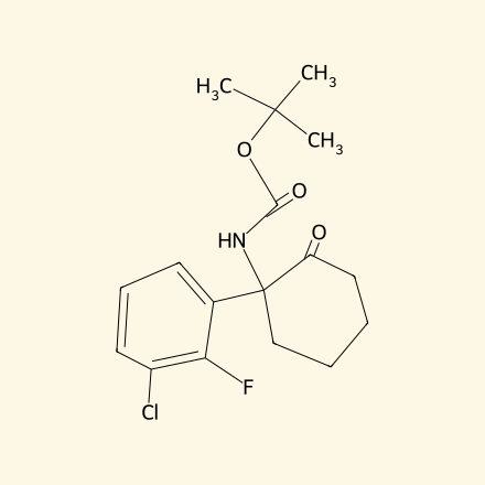 CC(C)(C)OC(=O)NC1(c2cccc(Cl)c2F)CCCCC1=O